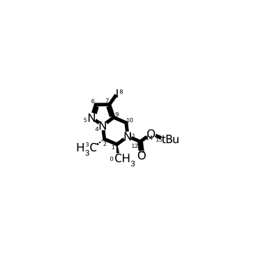 C[C@H]1[C@H](C)n2ncc(I)c2CN1C(=O)OC(C)(C)C